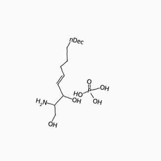 CCCCCCCCCCCCC/C=C/C(O)C(N)CO.O=P(O)(O)O